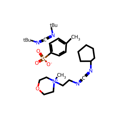 CC(C)(C)N=C=NC(C)(C)C.C[N+]1(CCN=C=NC2CCCCC2)CCOCC1.Cc1ccc(S(=O)(=O)[O-])cc1